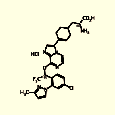 Cc1ccn(-c2cc(Cl)ccc2[C@@H](Oc2nccn3c(C4=CCC(C[C@H](N)C(=O)O)CC4)cnc23)C(F)(F)F)n1.Cl